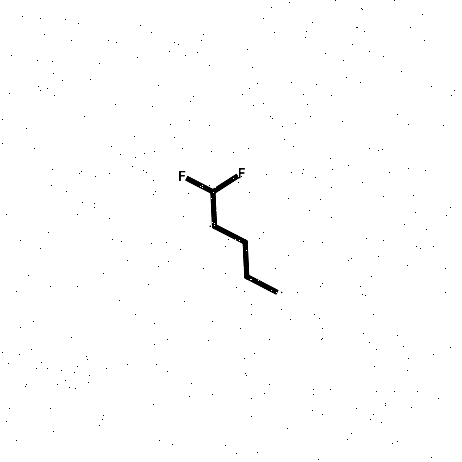 [CH2]CC[CH]C(F)F